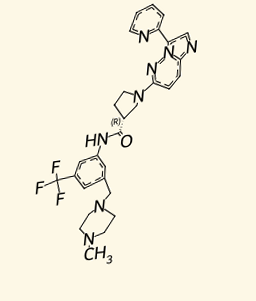 CN1CCN(Cc2cc(NC(=O)[C@@H]3CCN(c4ccc5ncc(-c6ccccn6)n5n4)C3)cc(C(F)(F)F)c2)CC1